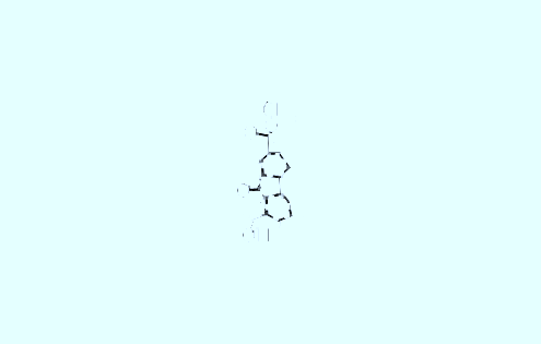 COC(=O)c1ccc2c(c1)C(=O)c1c(CO)cccc1-2